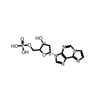 O=P(O)(O)OCC1O[C@@H](n2cnc3c2ncn2ccnc32)C[C@@H]1O